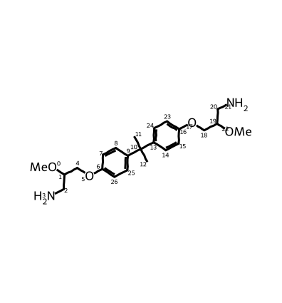 COC(CN)COc1ccc(C(C)(C)c2ccc(OCC(CN)OC)cc2)cc1